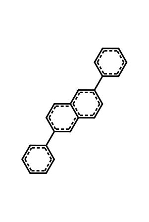 [c]1c(-c2ccccc2)ccc2cc(-c3ccccc3)ccc12